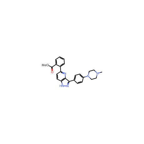 COC(=O)c1ccccc1-c1ccc2[nH]nc(-c3ccc(N4CCN(C)CC4)cc3)c2n1